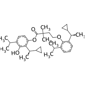 CC(C)c1ccc(OC(=O)C(C)(C)CCOc2c(C(C)C)cccc2[C@H](C)C2CC2)c([C@H](C)C2CC2)c1O